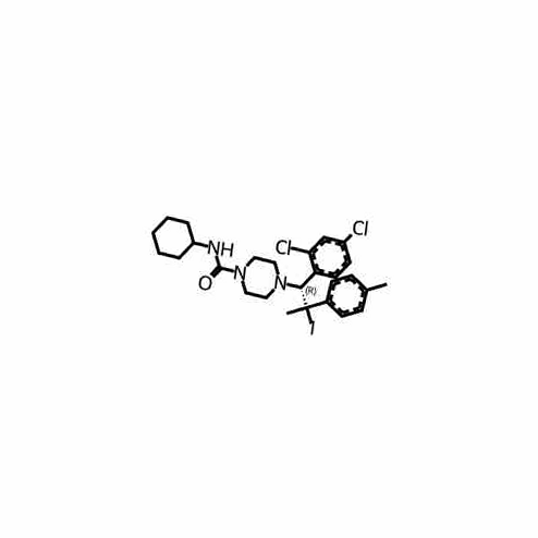 Cc1ccc(C(C)(I)[C@@H](c2ccc(Cl)cc2Cl)N2CCN(C(=O)NC3CCCCC3)CC2)cc1